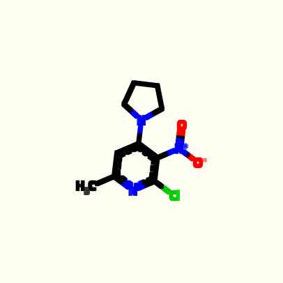 Cc1cc(N2CCCC2)c([N+](=O)[O-])c(Cl)n1